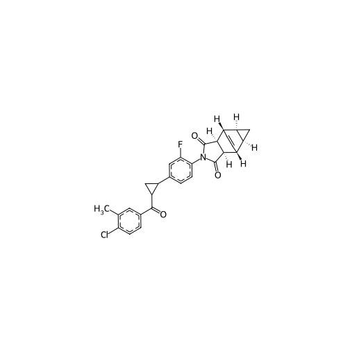 Cc1cc(C(=O)C2CC2c2ccc(N3C(=O)[C@@H]4[C@@H]5C=C[C@@H]([C@H]6C[C@@H]56)[C@@H]4C3=O)c(F)c2)ccc1Cl